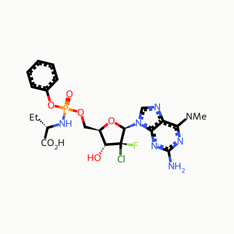 CC[C@H](NP(=O)(OC[C@H]1O[C@@H](n2cnc3c(NC)nc(N)nc32)[C@](F)(Cl)[C@@H]1O)Oc1ccccc1)C(=O)O